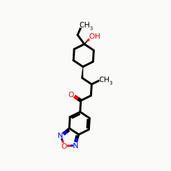 CC[C@]1(O)CC[C@@H](CC(C)CC(=O)c2ccc3nonc3c2)CC1